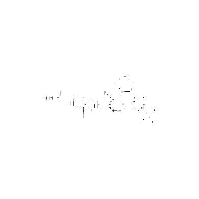 NC(=O)CN1CCC(CNc2ncnc(N3CCOC[C@@H]3c3ccc(C(F)(F)F)cn3)c2F)C(F)(F)C1